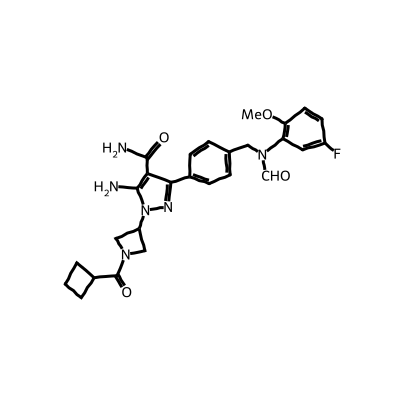 COc1ccc(F)cc1N(C=O)Cc1ccc(-c2nn(C3CN(C(=O)C4CCC4)C3)c(N)c2C(N)=O)cc1